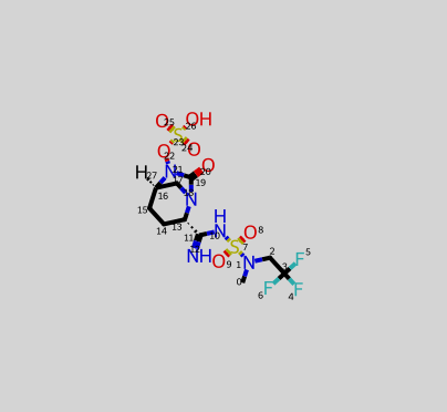 CN(CC(F)(F)F)S(=O)(=O)NC(=N)[C@@H]1CC[C@@H]2CN1C(=O)N2OS(=O)(=O)O